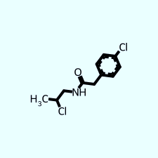 CC(Cl)CNC(=O)Cc1ccc(Cl)cc1